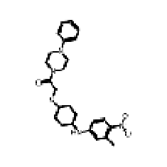 Cc1cc(NC2CCC(OCC(=O)N3CCN(c4ccccc4)CC3)CC2)ccc1[N+](=O)[O-]